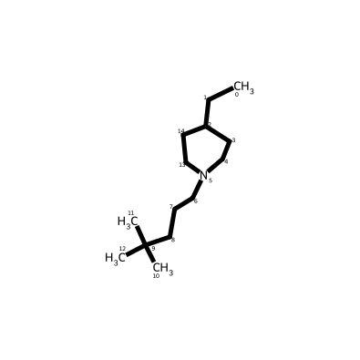 CCC1CCN(CCCC(C)(C)C)CC1